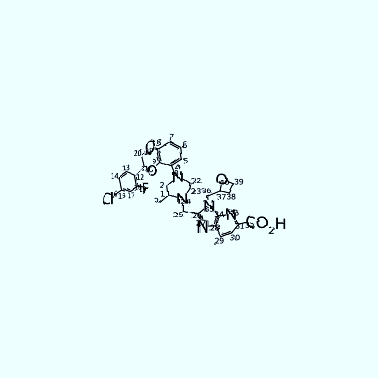 CC1CN(c2cccc3c2OC(c2ccc(Cl)cc2F)CO3)CCN1Cc1nc2ccc(C(=O)O)nc2n1CC1CCO1